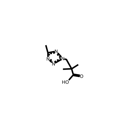 Cc1nnn(CC(C)(C)C(=O)O)n1